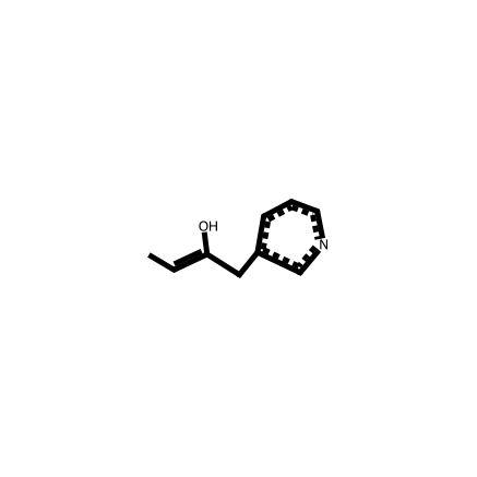 C/C=C(\O)Cc1cccnc1